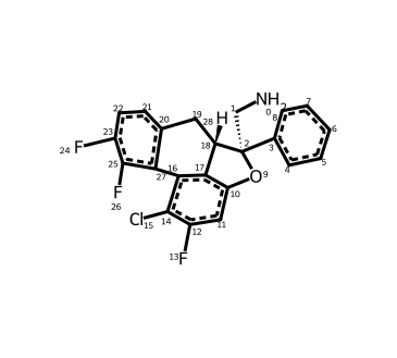 NC[C@]1(c2ccccc2)Oc2cc(F)c(Cl)c3c2[C@@H]1Cc1ccc(F)c(F)c1-3